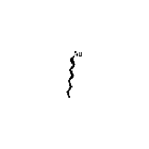 CCCCCCC=[CH][Au]